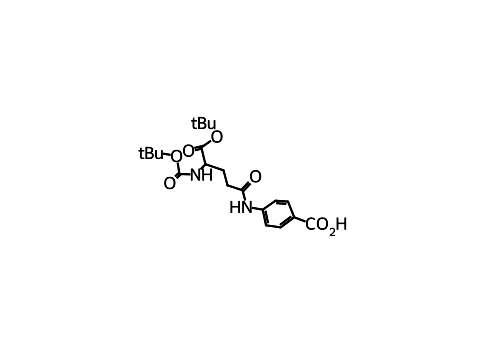 CC(C)(C)OC(=O)NC(CCC(=O)Nc1ccc(C(=O)O)cc1)C(=O)OC(C)(C)C